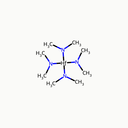 C[N](C)[Hf]([N](C)C)([N](C)C)[N](C)C